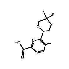 Cc1cnc(C(=O)O)nc1C1CCC(F)(F)CO1